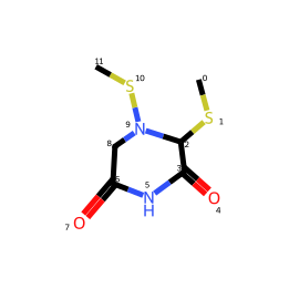 CSC1C(=O)NC(=O)CN1SC